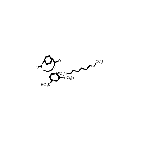 O=C(O)CCCCCCCC(=O)O.O=C(O)c1cccc(C(=O)O)c1.O=C1OCCOC(=O)c2ccc1cc2